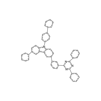 c1ccc(-c2ccc(-n3c4ccc(-c5ccccc5)cc4c4cc(-c5cccc(-c6nc(-c7ccccc7)nc(-c7ccccc7)n6)c5)ccc43)cc2)cc1